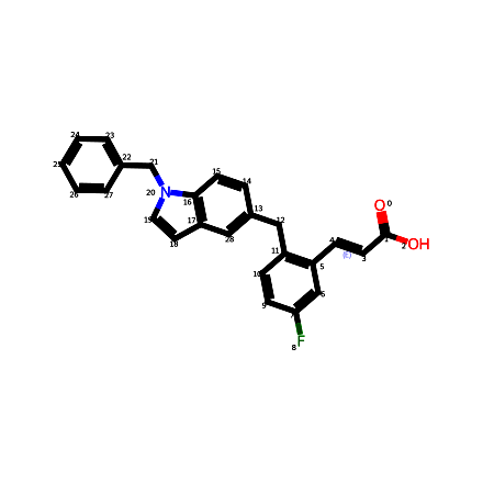 O=C(O)/C=C/c1cc(F)ccc1Cc1ccc2c(ccn2Cc2ccccc2)c1